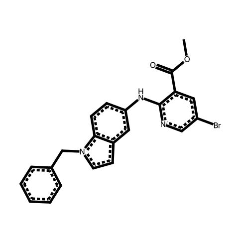 COC(=O)c1cc(Br)cnc1Nc1ccc2c(ccn2Cc2ccccc2)c1